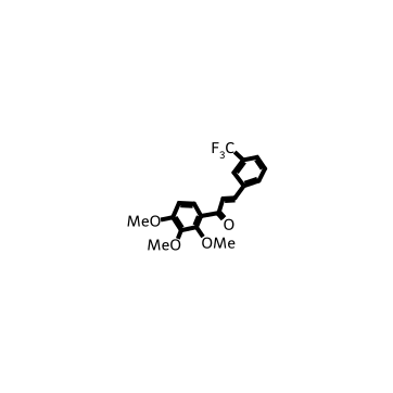 COc1ccc(C(=O)/C=C/c2cccc(C(F)(F)F)c2)c(OC)c1OC